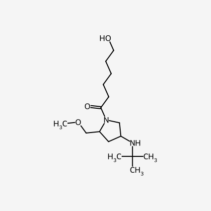 COCC1CC(NC(C)(C)C)CN1C(=O)CCCCCO